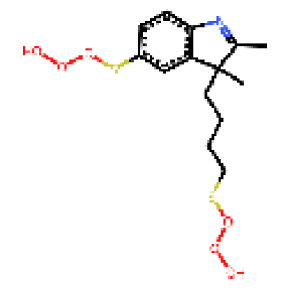 CC1=Nc2ccc(SOOO)cc2C1(C)CCCCSOOO